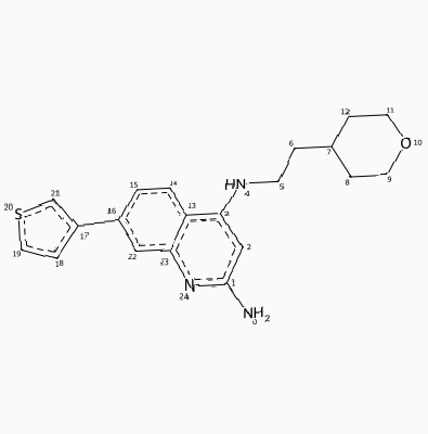 Nc1cc(NCCC2CCOCC2)c2ccc(-c3ccsc3)cc2n1